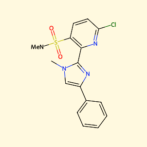 CNS(=O)(=O)c1ccc(Cl)nc1-c1nc(-c2ccccc2)cn1C